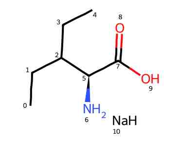 CCC(CC)[C@H](N)C(=O)O.[NaH]